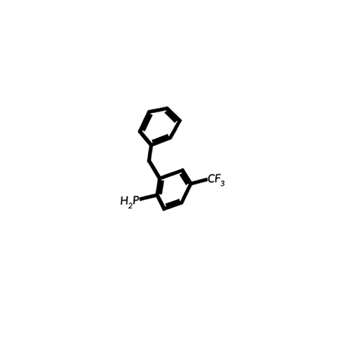 FC(F)(F)c1ccc(P)c(Cc2ccccc2)c1